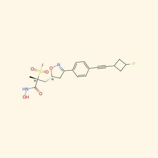 C[C@@](C[C@H]1CC(c2ccc(C#CC3CC(F)C3)cc2)=NO1)(C(=O)NO)S(C)(=O)=O